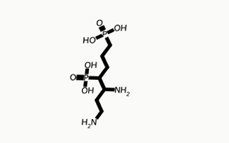 NCCC(N)C(CCCP(=O)(O)O)P(=O)(O)O